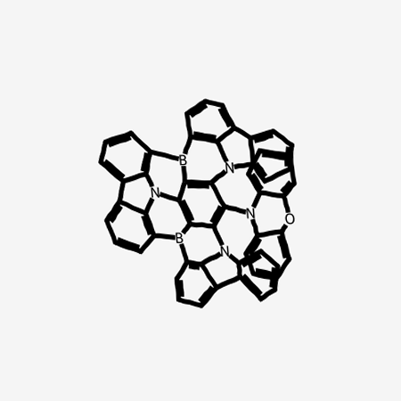 c1ccc2c(c1)Oc1ccccc1N2c1c2c3c4c5c1-n1c6ccccc6c6cccc(c61)B5c1cccc5c6cccc(c6n-4c15)B3c1cccc3c4ccccc4n-2c13